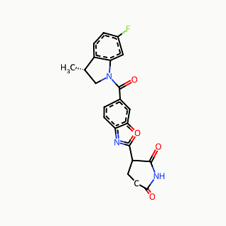 C[C@H]1CN(C(=O)c2ccc3nc(C4CCC(=O)NC4=O)oc3c2)c2cc(F)ccc21